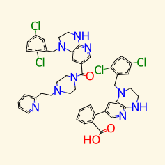 O=C(O)c1ccccc1-c1cnc2c(c1)N(Cc1cc(Cl)ccc1Cl)CCN2.O=C(c1cnc2c(c1)N(Cc1cc(Cl)ccc1Cl)CCN2)N1CCN(CCc2ccccn2)CC1